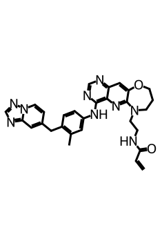 C=CC(=O)NCCN1CCCOc2cc3ncnc(Nc4ccc(Cc5ccn6ncnc6c5)c(C)c4)c3nc21